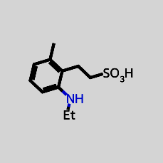 CCNc1cccc(C)c1CCS(=O)(=O)O